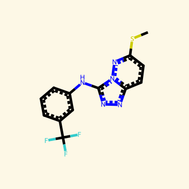 CSc1ccc2nnc(Nc3cccc(C(F)(F)F)c3)n2n1